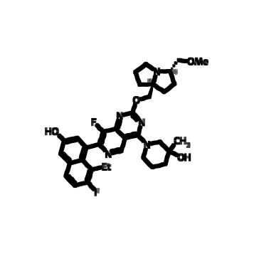 CCc1c(F)ccc2cc(O)cc(-c3ncc4c(N5CCCC(C)(O)C5)nc(OC[C@@]56CCCN5[C@H](COC)CC6)nc4c3F)c12